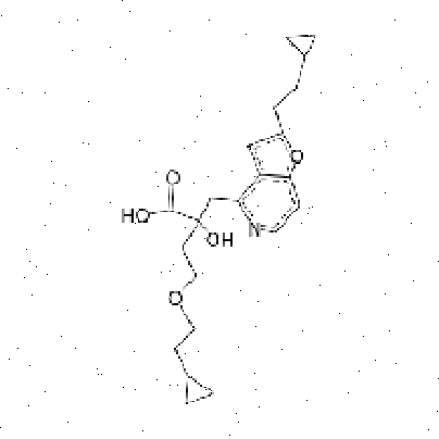 O=C(O)C(O)(CCOCCC1CC1)Cc1nccc2oc(CCC3CC3)cc12